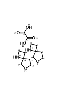 C1CC2(CCOC2)N1.C1CC2(CCOC2)N1.O=C(O)C(=O)O